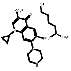 NCCCC[C@H](N)C(=O)O.O=C(O)c1cn(C2CC2)c2cc(N3CCNCC3)c(F)cc2c1=O